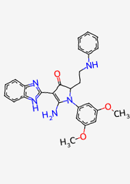 COc1cc(OC)cc(N2C(N)=C(c3nc4ccccc4[nH]3)C(=O)C2CCNc2ccccc2)c1